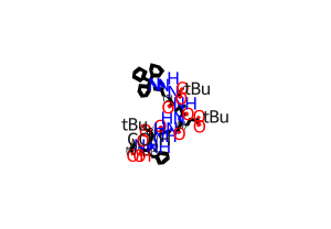 C[C@@H](O)[C@H](NC(=O)[C@H](Cc1ccccc1)NC(=O)[C@@H](NC(=O)CNC(=O)[C@H](CCC(=O)OC(C)(C)C)NC(=O)C(C)(C)NC(=O)[C@H](Cc1cn(C(c2ccccc2)(c2ccccc2)c2ccccc2)cn1)NC(=O)OC(C)(C)C)[C@@H](C)OC(C)(C)C)C(=O)O